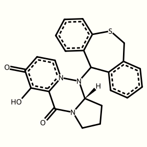 O=C1c2c(O)c(=O)ccn2N(C2c3ccccc3CSc3ccccc32)[C@@H]2CCCN12